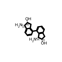 N[C@@H]1c2c(cccc2-c2cccc3c2C[C@@H](O)[C@H]3N)C[C@@H]1O